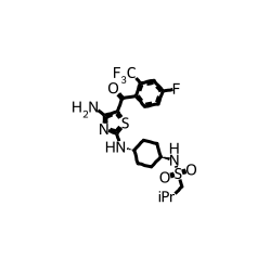 CC(C)CS(=O)(=O)N[C@H]1CC[C@H](Nc2nc(N)c(C(=O)c3ccc(F)cc3C(F)(F)F)s2)CC1